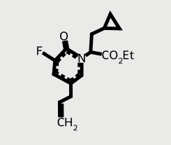 C=CCc1cc(F)c(=O)n(C(CC2CC2)C(=O)OCC)c1